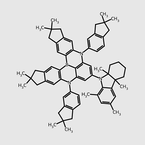 Cc1cc(C)c2c(c1)C1(C)CCCCC1(C)N2c1cc2c3c(c1)N(c1ccc4c(c1)CC(C)(C)C4)c1cc4c(cc1B3c1cc3c(cc1N2c1ccc2c(c1)CC(C)(C)C2)CC(C)(C)C3)CC(C)(C)C4